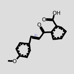 COc1ccc(/C=C/C(=O)c2ccccc2C(=O)O)cc1